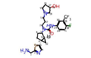 NCc1ncc([C@]23CC[C@@H](N(CCCN4CC[C@@H](O)C4)C(=O)Nc4ccc(F)c(C(F)(F)F)c4)[C@H]2C3)s1